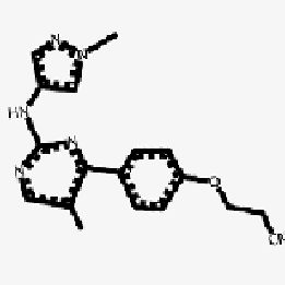 Cc1cnc(Nc2cnn(C)c2)nc1-c1ccc(OCCC#N)cc1